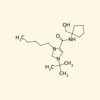 CCCCCN1CN(C(C)(C)C)C=C1C(=O)NC1(CO)CCCC1